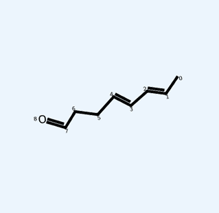 CC=CC=CCCC=O